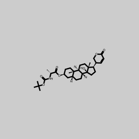 C[C@@H](NC(=O)OC(C)(C)C)C(=O)O[C@H]1CC[C@@]2(C)[C@H](CC[C@@H]3[C@@H]2CC[C@]2(C)[C@@H](C4C=CC(=O)OC4)CC[C@]32O)C1